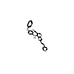 N#Cc1cnc2cc(/C=C/c3ccncc3)sc2c1Nc1ccc(Oc2ccccc2)cc1